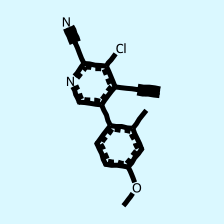 C#Cc1c(-c2ccc(OC)cc2C)cnc(C#N)c1Cl